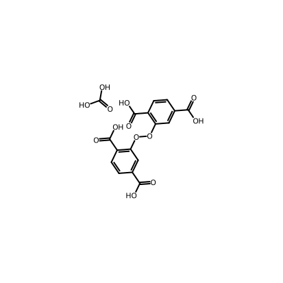 O=C(O)O.O=C(O)c1ccc(C(=O)O)c(OOc2cc(C(=O)O)ccc2C(=O)O)c1